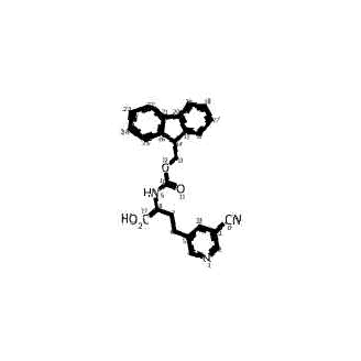 N#Cc1cncc(CCC(NC(=O)OCC2c3ccccc3-c3ccccc32)C(=O)O)c1